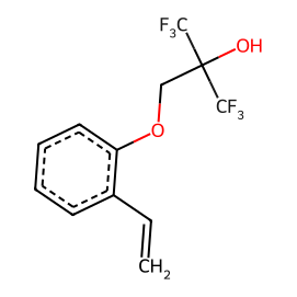 C=Cc1ccccc1OCC(O)(C(F)(F)F)C(F)(F)F